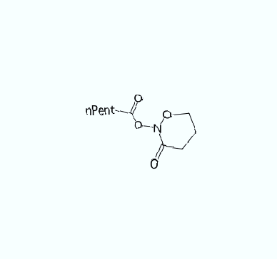 CCCCCC(=O)ON1OCCCC1=O